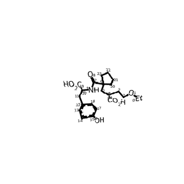 CCOCC[C@H](CC1(C(=O)N[C@@H](Cc2ccc(O)cc2)C(=O)O)CCCC1)C(=O)O